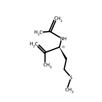 C=C(C)N[C@@H](CCSC)C(=C)C